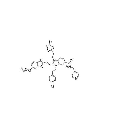 COc1ccc2sc(CCc3c(CCc4ccc(Cl)cc4)c4cc(C(=O)NCc5ccncc5)ccc4n3CCc3nn[nH]n3)nc2c1